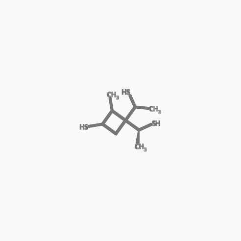 CC(S)C1([C@H](C)S)CC(S)C1C